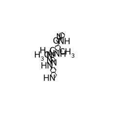 Cc1cc(C(=O)Nc2ccccn2)cc(C)c1Nc1nn(C)c2nc(Nc3ccc4c(c3)CNCC4)ncc12